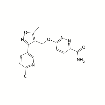 Cc1onc(-c2ccc(Cl)nc2)c1COc1ccc(C(N)=O)nn1